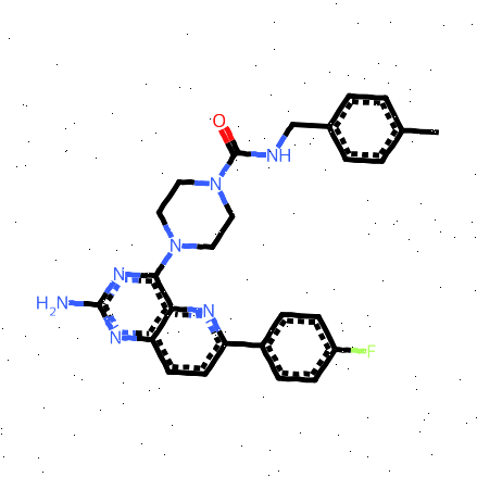 Cc1ccc(CNC(=O)N2CCN(c3nc(N)nc4ccc(-c5ccc(F)cc5)nc34)CC2)cc1